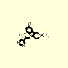 C/C(=C\n1c2c(c3cc(Cl)ccc31)CN(C)CC2)c1cncnc1